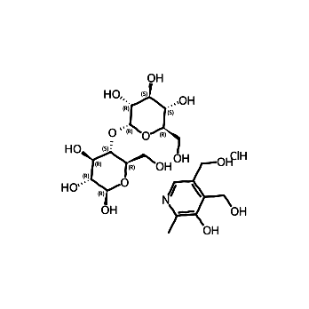 Cc1ncc(CO)c(CO)c1O.Cl.OC[C@H]1O[C@H](O[C@H]2[C@H](O)[C@@H](O)[C@H](O)O[C@@H]2CO)[C@H](O)[C@@H](O)[C@@H]1O